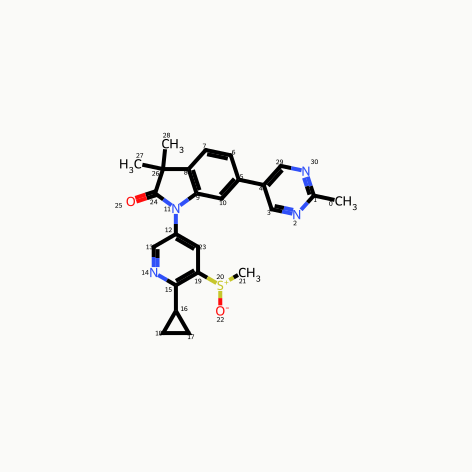 Cc1ncc(-c2ccc3c(c2)N(c2cnc(C4CC4)c([S+](C)[O-])c2)C(=O)C3(C)C)cn1